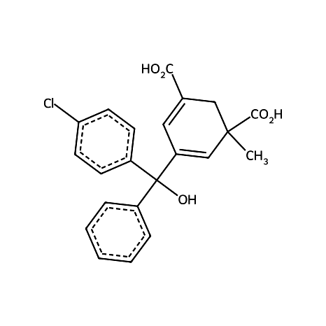 CC1(C(=O)O)C=C(C(O)(c2ccccc2)c2ccc(Cl)cc2)C=C(C(=O)O)C1